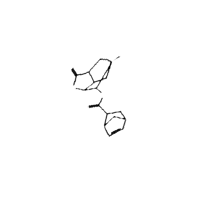 O=C(OC1C2OC(=O)C3C[C@@H]1CC32)C1CC2C=CC1C2